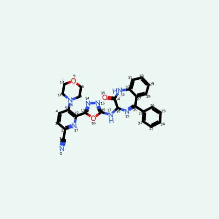 N#Cc1ccc(N2CCOCC2)c(-c2nnc(NC3N=C(c4ccccc4)c4ccccc4NC3=O)o2)n1